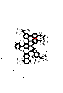 Cc1cccc(C)c1-c1cc2c3c(c1)N(c1ccc4c(c1)C(C)(C)CCC4(C)C)c1c(sc4cc(C(C)(C)C)ccc14)B3c1cc(C(C)(C)C)ccc1N2c1ccc(C(C)(C)C)cc1-c1ccc(C(C)(C)C)cc1